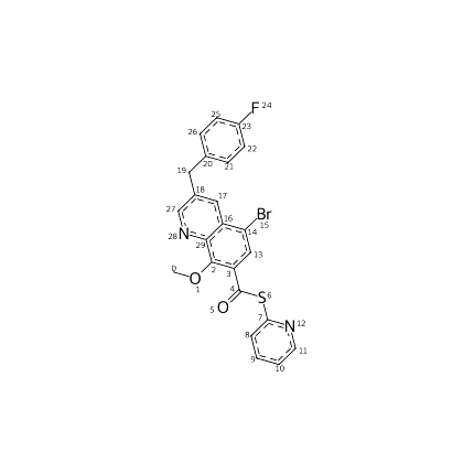 COc1c(C(=O)Sc2ccccn2)cc(Br)c2cc(Cc3ccc(F)cc3)cnc12